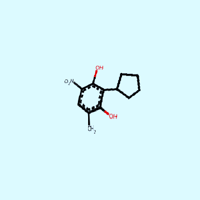 Cc1cc([N+](=O)[O-])c(O)c(C2CCCC2)c1O